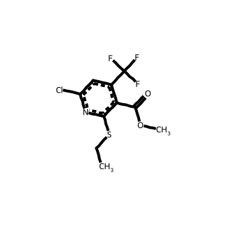 CCSc1nc(Cl)cc(C(F)(F)F)c1C(=O)OC